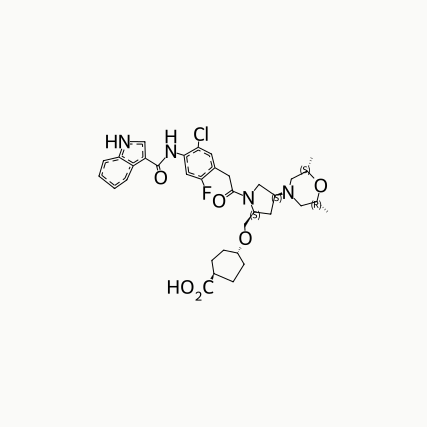 C[C@@H]1CN([C@H]2C[C@@H](CO[C@H]3CC[C@H](C(=O)O)CC3)N(C(=O)Cc3cc(Cl)c(NC(=O)c4c[nH]c5ccccc45)cc3F)C2)C[C@H](C)O1